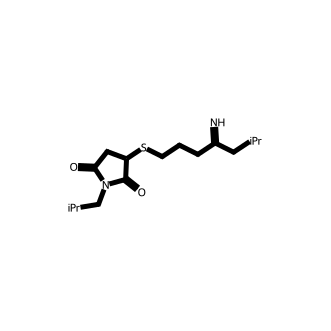 CC(C)CC(=N)CCCSC1CC(=O)N(CC(C)C)C1=O